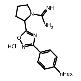 CCCCCCc1ccc(-c2noc(C3CCCN3C(=N)N)n2)cc1.Cl